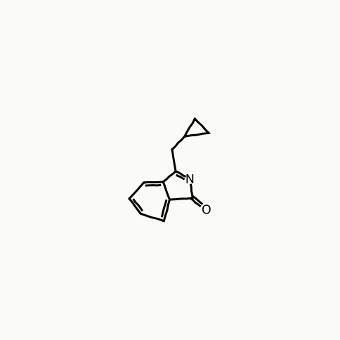 O=C1N=C(CC2CC2)c2ccccc21